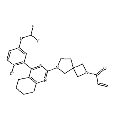 C=CC(=O)N1CC2(CCN(c3nc4c(c(-c5cc(OC(F)F)ccc5Cl)n3)CCCC4)C2)C1